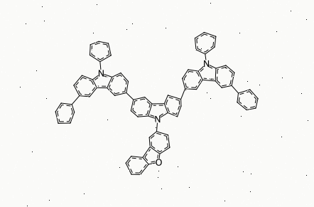 c1ccc(-c2ccc3c(c2)c2cc(-c4ccc5c(c4)c4cc(-c6ccc7c(c6)c6cc(-c8ccccc8)ccc6n7-c6ccccc6)ccc4n5-c4ccc5oc6ccccc6c5c4)ccc2n3-c2ccccc2)cc1